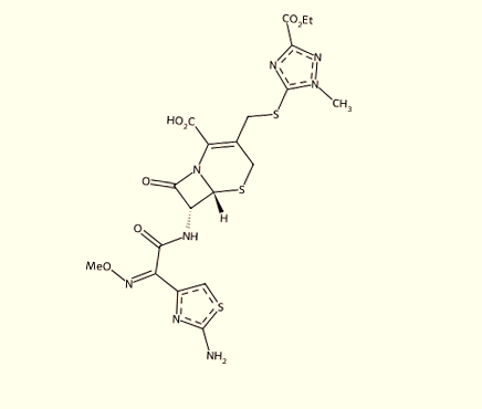 CCOC(=O)c1nc(SCC2=C(C(=O)O)N3C(=O)[C@@H](NC(=O)/C(=N\OC)c4csc(N)n4)[C@H]3SC2)n(C)n1